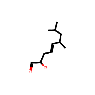 CC(C)CC(C)C=CCC(O)C=O